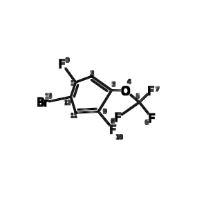 Fc1cc(OC(F)(F)F)c(F)cc1Br